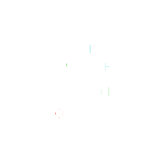 [O]C/C=C(\Cl)C(F)(F)Cl